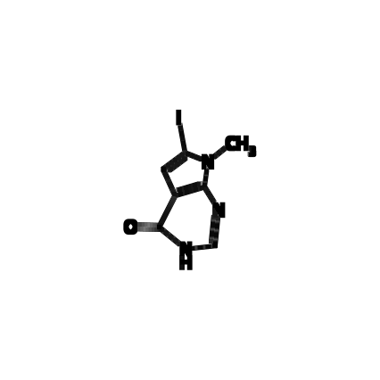 Cn1c(I)cc2c(=O)[nH]cnc21